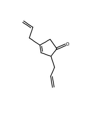 C=CCC1=CC(CC=C)C(=O)C1